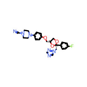 N#CN1CCN(c2ccc(OC[C@@H]3CO[C@@](Cn4cncn4)(c4ccc(F)cc4)O3)cc2)CC1